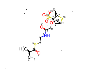 C=C(C)C(=O)SCCNC(=O)COC1C2CC3C(S2)C1OS3(=O)=O